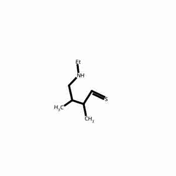 CCNCC(C)C(C)C=S